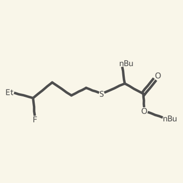 CCCCOC(=O)C(CCCC)SCCCC(F)CC